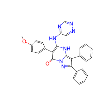 COc1ccc(-c2c(Nc3cnncn3)[nH]c3c(-c4ccccc4)c(-c4ccccc4)nn3c2=O)cc1